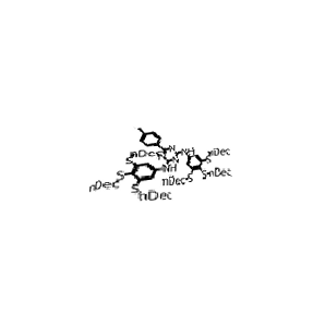 [CH2]c1ccc(-c2nc(Nc3cc(SCCCCCCCCCC)c(SCCCCCCCCCC)c(SCCCCCCCCCC)c3)nc(Nc3cc(SCCCCCCCCCC)c(SCCCCCCCCCC)c(SCCCCCCCCCC)c3)n2)cc1